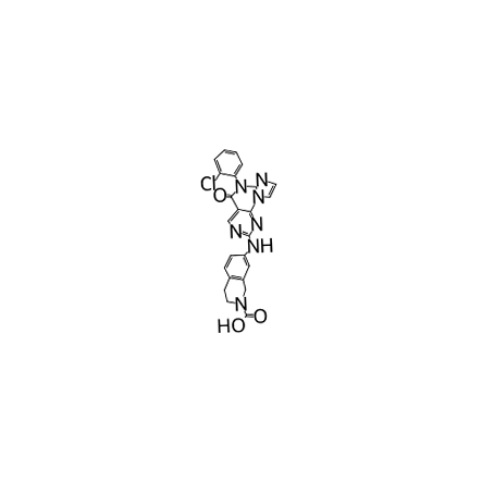 O=C(O)N1CCc2ccc(Nc3ncc4c(=O)n(-c5ccccc5Cl)c5nccn5c4n3)cc2C1